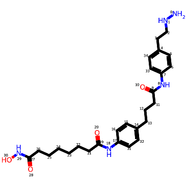 NNCCc1ccc(NC(=O)CCCc2ccc(NC(=O)CCCCCCC(=O)NO)cc2)cc1